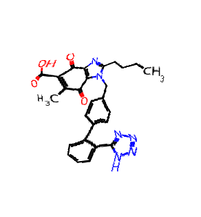 CCCCc1nc2c(n1Cc1ccc(-c3ccccc3-c3nnn[nH]3)cc1)C(=O)C(C)=C(C(=O)O)C2=O